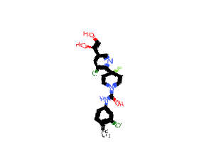 OC[C@H](O)c1cnc(C2(F)CCN(C(O)Nc3ccc(C(F)(F)F)c(Cl)c3)CC2)c(Cl)c1